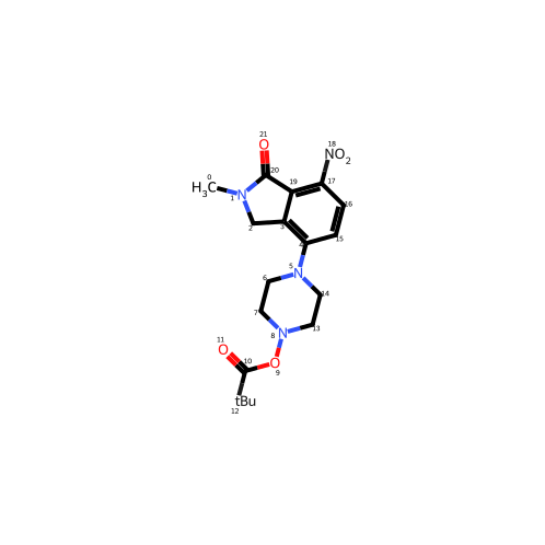 CN1Cc2c(N3CCN(OC(=O)C(C)(C)C)CC3)ccc([N+](=O)[O-])c2C1=O